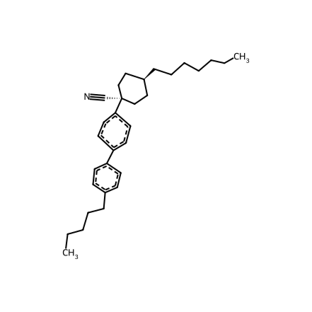 CCCCCCC[C@H]1CC[C@@](C#N)(c2ccc(-c3ccc(CCCCC)cc3)cc2)CC1